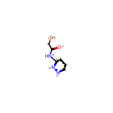 O=C(CS)Nc1cccnn1